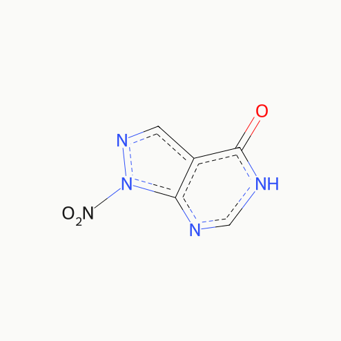 O=c1[nH]cnc2c1cnn2[N+](=O)[O-]